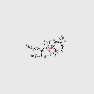 CC(C)C(Sc1nc2ccc(C(F)(F)F)cc2o1)C(CC(=O)O)C(=O)O